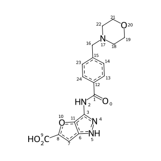 O=C(Nc1n[nH]c2cc(C(=O)O)oc12)c1ccc(CN2CCOCC2)cc1